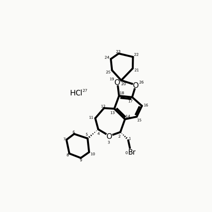 BrC[C@@H]1O[C@H](C2CCCCC2)CCc2c1ccc1c2OC2(CCCCC2)O1.Cl